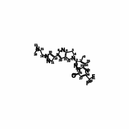 Cc1c(N2CCc3ncc(-c4cnn(CCN(C)C)c4)cc3C2)nn2c(=O)cc(C(F)F)nc2c1C